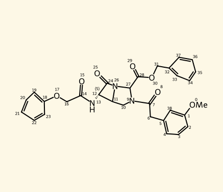 COc1cccc(CC(=O)N2CC3[C@H](NC(=O)COc4ccccc4)C(=O)N3C2C(=O)OCc2ccccc2)c1